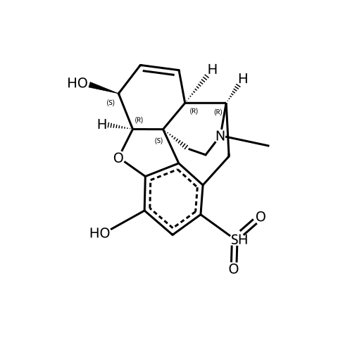 CN1CC[C@]23c4c5c([SH](=O)=O)cc(O)c4O[C@H]2[C@@H](O)C=C[C@H]3[C@H]1C5